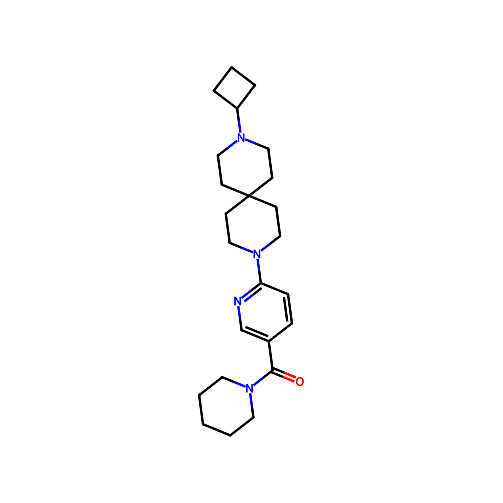 O=C(c1ccc(N2CCC3(CC2)CCN(C2CCC2)CC3)nc1)N1CCCCC1